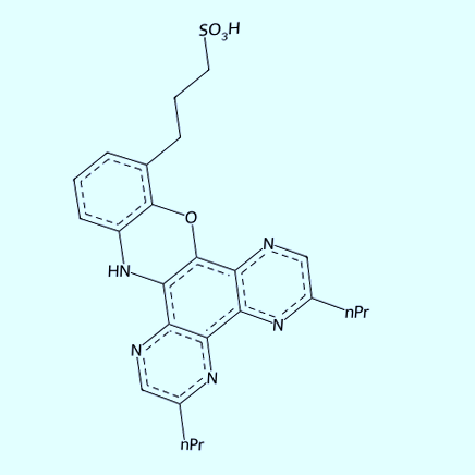 CCCc1cnc2c3c(c4ncc(CCC)nc4c2n1)Oc1c(CCCS(=O)(=O)O)cccc1N3